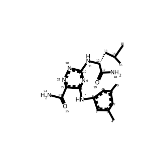 Cc1cc(C)cc(Nc2nc(N[C@H](CC(C)C)C(N)=O)nnc2C(N)=O)c1